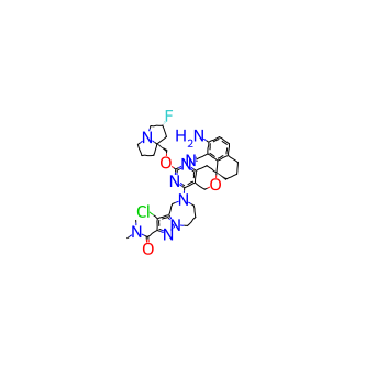 CN(C)C(=O)c1nn2c(c1Cl)CN(c1nc(OC[C@@]34CCCN3C[C@H](F)C4)nc3c1CO[C@]1(CCCc4ccc(N)c(C#N)c41)C3)CCC2